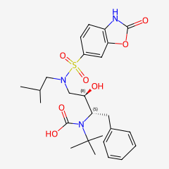 CC(C)CN(C[C@@H](O)[C@H](Cc1ccccc1)N(C(=O)O)C(C)(C)C)S(=O)(=O)c1ccc2[nH]c(=O)oc2c1